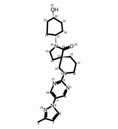 Cc1ccn(-c2cnc(N3CCC[C@]4(CCN([C@H]5CC[C@@H](O)CC5)C4=O)C3)nc2)n1